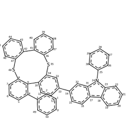 c1ccc(-c2cccc3c2-c2ccc(-c4ccc5c6ccccc6n(-c6ccccc6)c5c4)cc2Sc2ccccc2-c2ccccc2S3)cc1